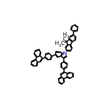 CC1(C)c2cc(-c3ccccc3)ccc2-c2ccc(-n3cc(-c4ccc(-c5cc6ccccc6c6ccccc56)cc4)c4cc(-c5ccc(-c6cc7ccccc7c7ccccc67)cc5)ccc43)cc21